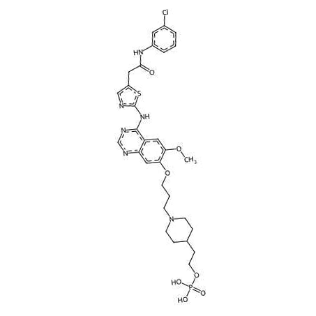 COc1cc2c(Nc3ncc(CC(=O)Nc4cccc(Cl)c4)s3)ncnc2cc1OCCCN1CCC(CCOP(=O)(O)O)CC1